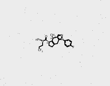 CCCN(CCC(F)(F)F)C(=O)[C@@H]1CCC2=C1[C@@H](C)c1cnn(-c3ccc(F)cc3)c1C2